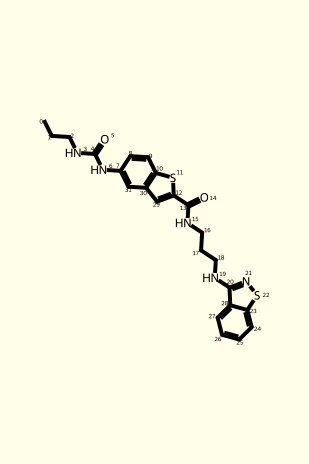 CCCNC(=O)Nc1ccc2sc(C(=O)NCCCNc3nsc4ccccc34)cc2c1